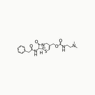 CN(C)CCNC(=O)OCC1=CS[C@H]2C(NC(=O)Cc3ccccc3)C(=O)N2C1